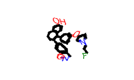 Oc1ccc2c(c1)CCCC(c1ccc3cnoc3c1)=C2C1=CC=C(O[C@H]2CCN(CCCF)C2)CC=C1